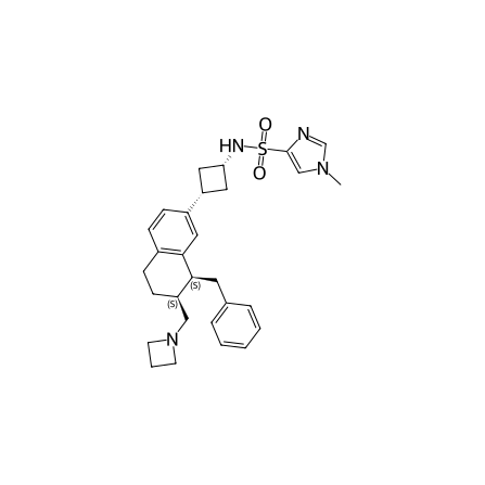 Cn1cnc(S(=O)(=O)N[C@H]2C[C@@H](c3ccc4c(c3)[C@@H](Cc3ccccc3)[C@@H](CN3CCC3)CC4)C2)c1